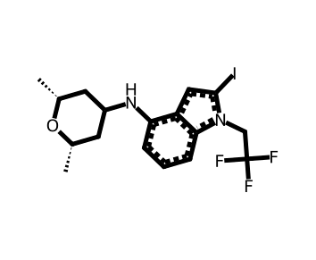 C[C@@H]1CC(Nc2cccc3c2cc(I)n3CC(F)(F)F)C[C@H](C)O1